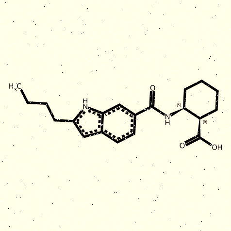 CCCCc1cc2ccc(C(=O)N[C@H]3CCCC[C@H]3C(=O)O)cc2[nH]1